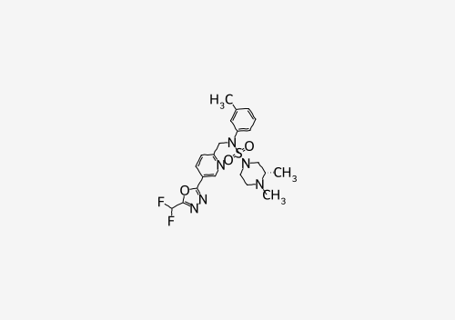 Cc1cccc(N(Cc2ccc(-c3nnc(C(F)F)o3)cn2)S(=O)(=O)N2CCN(C)[C@@H](C)C2)c1